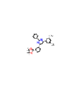 CC1(C)OB(c2cccc(-c3cc(-c4cc(C#N)cc(C#N)c4)nc(-c4ccccc4)n3)c2)OC1(C)C